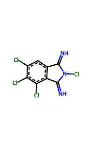 N=C1c2cc(Cl)c(Cl)c(Cl)c2C(=N)N1Cl